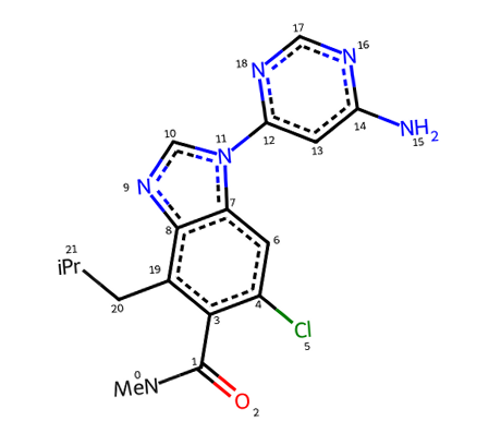 CNC(=O)c1c(Cl)cc2c(ncn2-c2cc(N)ncn2)c1CC(C)C